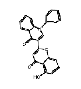 O=c1c(-c2cc(=O)c3c(O)cccc3o2)cn(-c2ccccc2)c2ccccc12